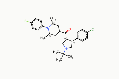 C[C@@H]1CC(C(=O)[C@H]2CN(C(C)(C)C)C[C@@H]2c2ccc(Cl)cc2)C[C@H](C)N1c1ccc(F)cc1